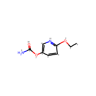 CCOc1ccc(OC(N)=O)cn1